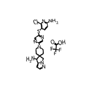 Nc1ccc(Sc2cnc(N3CCC4(CC3)Cn3nccc3[C@H]4N)cn2)c(Cl)n1.O=C(O)C(F)(F)F